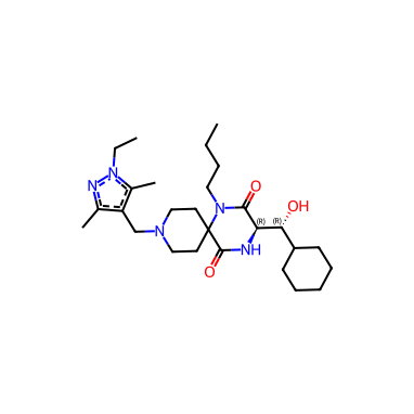 CCCCN1C(=O)[C@@H]([C@H](O)C2CCCCC2)NC(=O)C12CCN(Cc1c(C)nn(CC)c1C)CC2